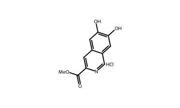 COC(=O)c1cc2cc(O)c(O)cc2cn1.Cl